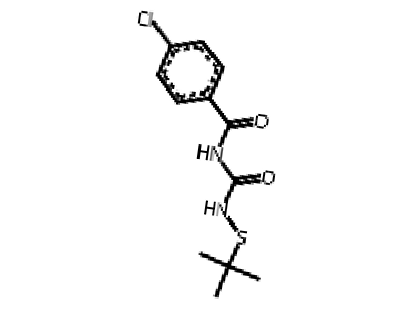 CC(C)(C)SNC(=O)NC(=O)c1ccc(Cl)cc1